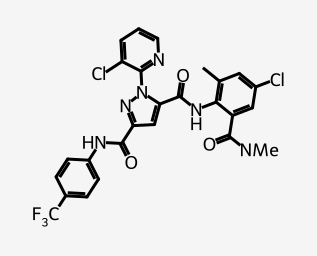 CNC(=O)c1cc(Cl)cc(C)c1NC(=O)c1cc(C(=O)Nc2ccc(C(F)(F)F)cc2)nn1-c1ncccc1Cl